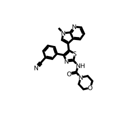 Cn1cc(-c2sc(NC(=O)N3CCOCC3)nc2-c2cccc(C#N)c2)c2cccnc21